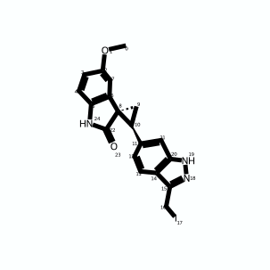 COc1ccc2c(c1)[C@]1(C[C@H]1c1ccc3c(CI)n[nH]c3c1)C(=O)N2